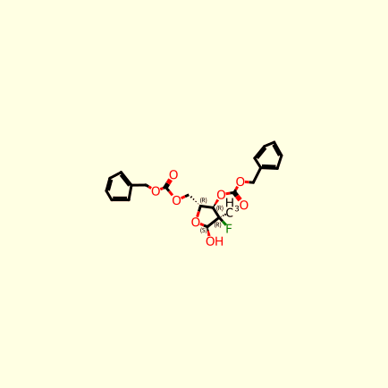 C[C@@]1(F)[C@H](OC(=O)OCc2ccccc2)[C@@H](COC(=O)OCc2ccccc2)O[C@@H]1O